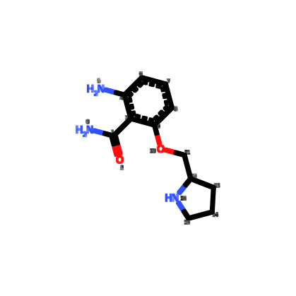 NC(=O)c1c(N)cccc1OCC1CCCN1